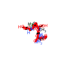 Cc1cccc2c(OC(=O)N(CCOCCO)CCN(C)C(=O)OCc3ccc(NC(=O)[C@H](CCCNC(N)=O)NC(=O)[C@@H](NC(=O)OCCN4C(=O)C=CC4=O)C(C)C)cc3)cc3c(c12)[C@H](CCl)CN3C(=O)c1cn2cc(NC(=O)c3ccc(OCCO)cc3)ccc2n1